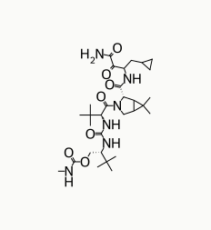 CNC(=O)OC[C@H](NC(=O)N[C@H](C(=O)N1CC2C([C@H]1C(=O)NC(CC1CC1)C(=O)C(N)=O)C2(C)C)C(C)(C)C)C(C)(C)C